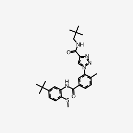 CSc1ccc(C(C)(C)C)cc1NC(=O)c1ccc(C)c(-n2cc(C(=O)NCC(C)(C)C)nn2)c1